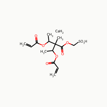 C=CC(=O)OC(C)C(C)(C(=O)OCS(=O)(=O)O)C(C)OC(=O)C=C.[CaH2]